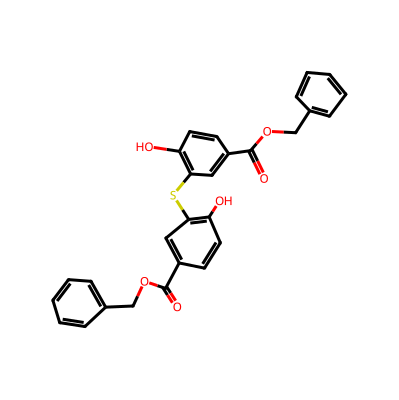 O=C(OCc1ccccc1)c1ccc(O)c(Sc2cc(C(=O)OCc3ccccc3)ccc2O)c1